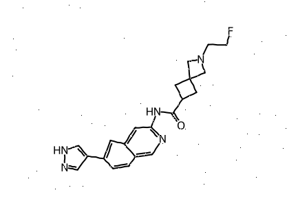 O=C(Nc1cc2cc(-c3cn[nH]c3)ccc2cn1)C1CC2(C1)CN(CCF)C2